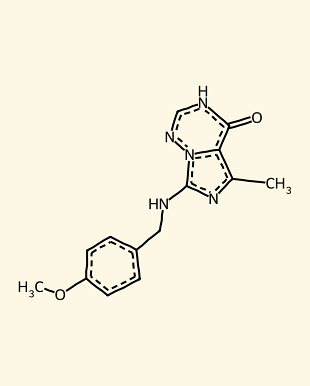 COc1ccc(CNc2nc(C)c3c(=O)[nH]cnn23)cc1